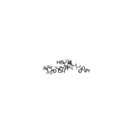 CC(C)OC(=O)CCC[C@H]1CC[C@@H]2[C@@H](C=C[C@@H](O)COc3ccc(F)cc3)[C@H](O)C[C@@H]2S1